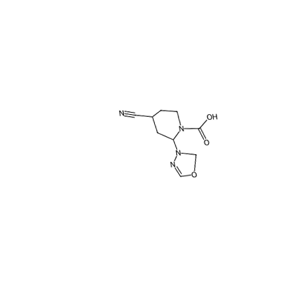 N#CC1CCN(C(=O)O)C(N2COC=N2)C1